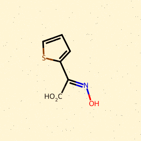 O=C(O)C(=NO)c1cccs1